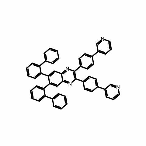 c1ccc(-c2ccccc2-c2cc3nc(-c4ccc(-c5cccnc5)cc4)c(-c4ccc(-c5cccnc5)cc4)nc3cc2-c2ccccc2-c2ccccc2)cc1